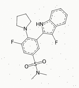 CN(C)S(=O)(=O)c1cc(F)c(N2CCCC2)c(-c2[nH]c3ccccc3c2F)c1